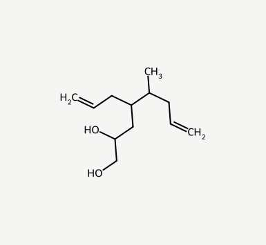 C=CCC(C)C(CC=C)CC(O)CO